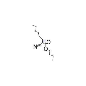 CCCCC/C=C(\C#N)C(=O)OCCCC